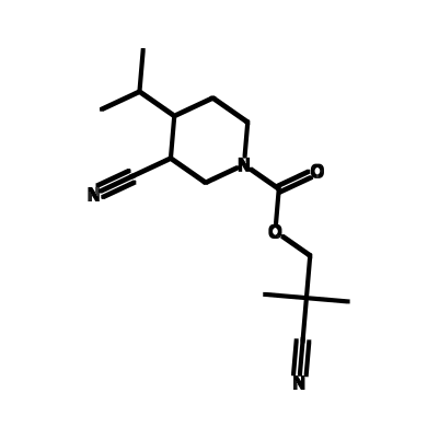 CC(C)C1CCN(C(=O)OCC(C)(C)C#N)CC1C#N